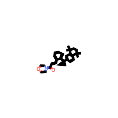 CC1(C)CCC(C)(C)c2cc(C3(c4ccccc4C=CC(=O)N4CCOCC4)CC3)ccc21